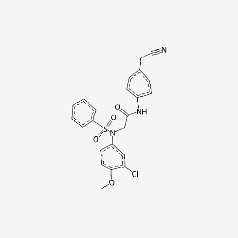 COc1ccc(N(CC(=O)Nc2ccc(CC#N)cc2)S(=O)(=O)c2ccccc2)cc1Cl